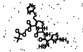 CC(C)(C)C(=O)OCOC(=O)C1=C(CSc2ncns2)CS[C@@H]2C(NC(=O)/C(=N\O)c3csc(N)n3)C(=O)N12